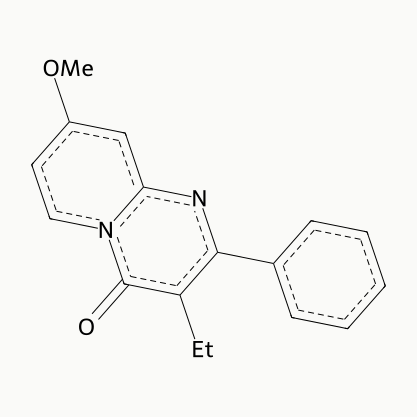 CCc1c(-c2ccccc2)nc2cc(OC)ccn2c1=O